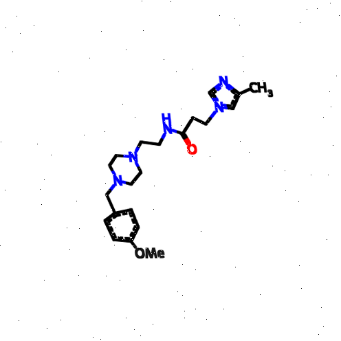 COc1ccc(CN2CCN(CCNC(=O)CCn3cnc(C)c3)CC2)cc1